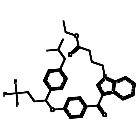 CCOC(=O)CCCn1cc(C(=O)c2ccc(OC(CCC(F)(F)F)c3ccc(CC(C)C)cc3)cc2)c2ccccc21